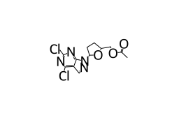 CC(=O)OCC1CCC(n2ncc3c(Cl)nc(Cl)nc32)O1